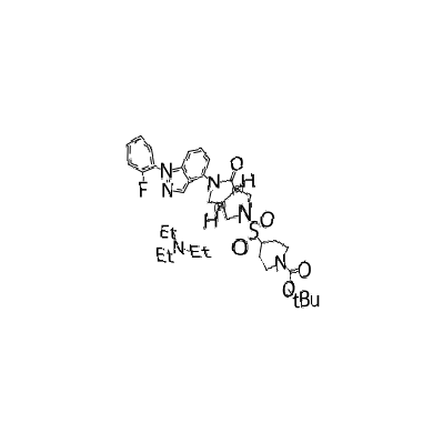 CC(C)(C)OC(=O)N1CCC(S(=O)(=O)N2C[C@@H]3CN(c4cccc5c4cnn5-c4ccccc4F)C(=O)[C@@H]3C2)CC1.CCN(CC)CC